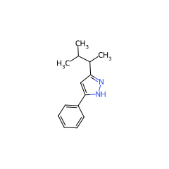 CC(C)C(C)c1cc(-c2ccccc2)[nH]n1